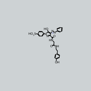 O=C(CNC(=O)c1nn(-c2ccc(S(=O)(=O)O)cc2)c(O)c1/N=N/c1ccccc1)NCCc1ccc(O)cc1